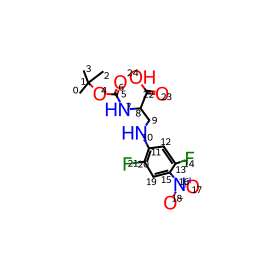 CC(C)(C)OC(=O)NC(CNc1cc(F)c([N+](=O)[O-])cc1F)C(=O)O